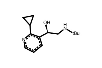 CC(C)(C)NC[C@H](O)c1cccnc1C1CC1